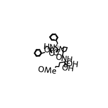 COCCCC(NC(=O)C1CCCN1C(=O)[C@H](Cc1ccccc1)NC(=O)OCc1ccccc1)B(O)O